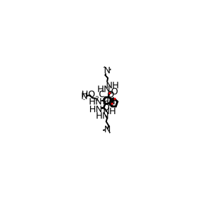 CN(C)CCCNNC(=N)c1c(NCCCN(C)C)c(C(=O)O)c(C(=O)NNCCCN(C)C)c2c3ccc(c(=O)[nH]c3=O)c12